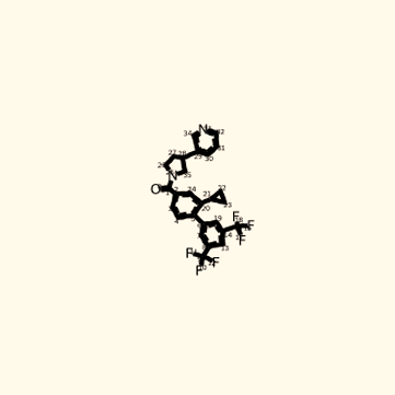 O=C(c1ccc(-c2cc(C(F)(F)F)cc(C(F)(F)F)c2)c(C2CC2)c1)N1CCC(c2cccnc2)C1